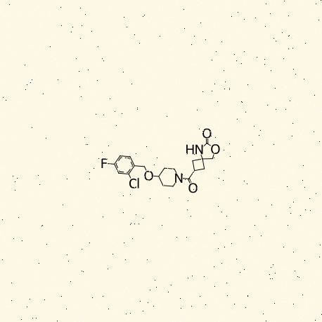 O=C1NC2(CO1)CC(C(=O)N1CCC(OCc3ccc(F)cc3Cl)CC1)C2